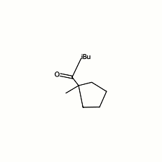 CCC(C)C(=O)C1(C)CCCC1